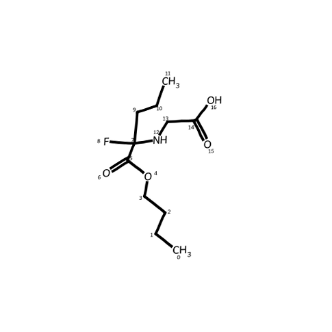 CCCCOC(=O)C(F)(CCC)NCC(=O)O